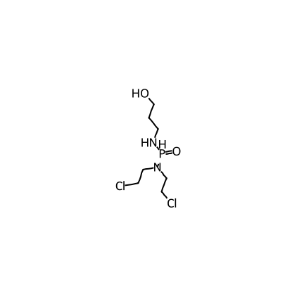 O=[PH](NCCCO)N(CCCl)CCCl